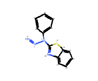 N=NN(c1ccccc1)c1nc2ccccc2s1